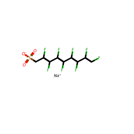 O=S(=O)([O-])CC(F)C(F)C(F)C(F)C(F)C(F)C(F)CF.[Na+]